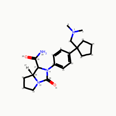 CN(C)CC1(c2ccc(N3C(=O)N4CC[CH][C@@H]4C3C(N)=O)cc2)CCCC1